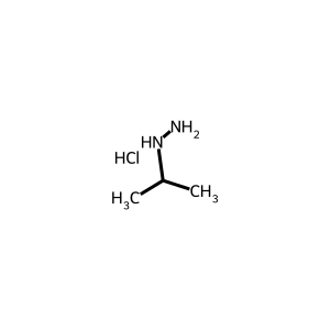 CC(C)NN.Cl